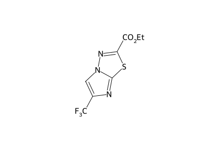 CCOC(=O)c1nn2cc(C(F)(F)F)nc2s1